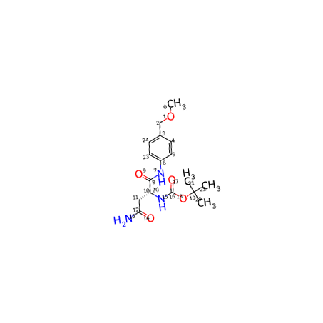 COCc1ccc(NC(=O)[C@@H](CC(N)=O)NC(=O)OC(C)(C)C)cc1